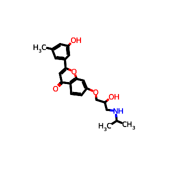 Cc1cc(O)cc(-c2cc(=O)c3ccc(OCC(O)CNC(C)C)cc3o2)c1